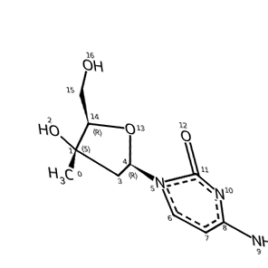 C[C@]1(O)C[C@H](n2ccc(N)nc2=O)O[C@@H]1CO